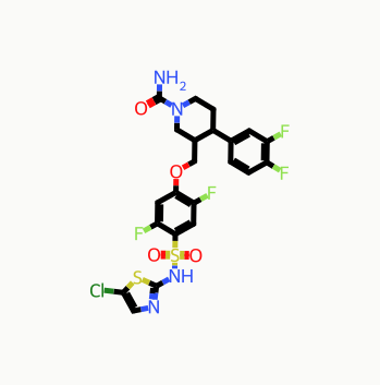 NC(=O)N1CCC(c2ccc(F)c(F)c2)C(COc2cc(F)c(S(=O)(=O)Nc3ncc(Cl)s3)cc2F)C1